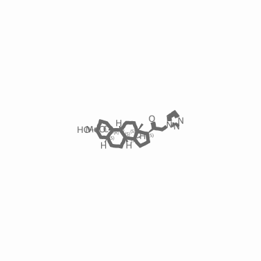 COC[C@]12CC[C@@H](O)C[C@@H]1CC[C@H]1[C@@H]3CC[C@H](C(=O)Cn4ccnn4)[C@@]3(C)CC[C@@H]12